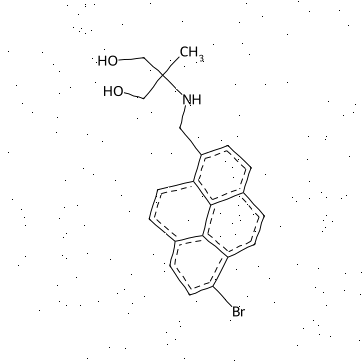 CC(CO)(CO)NCc1ccc2ccc3c(Br)ccc4ccc1c2c43